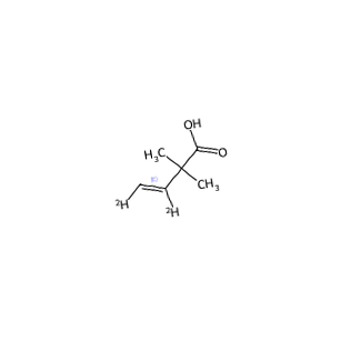 [2H]/C=C(\[2H])C(C)(C)C(=O)O